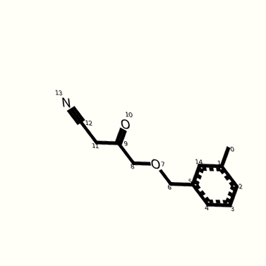 Cc1cccc(COCC(=O)CC#N)c1